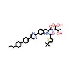 CCCC1CCC(C2CC=C(c3cnc(-c4ccc(C[C@H](NC(=O)c5ccc(C(C)(C)C)s5)C(=O)N[C@H](C(=O)O)[C@@H](C)O)cc4)nc3)CC2)CC1